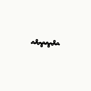 COCC(=O)OCC(=O)OCOC(=O)COC(=O)COC